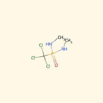 CNP(=O)(NC)C(Cl)(Cl)Cl